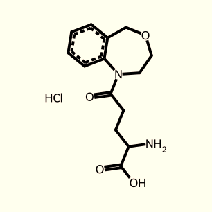 Cl.NC(CCC(=O)N1CCOCc2ccccc21)C(=O)O